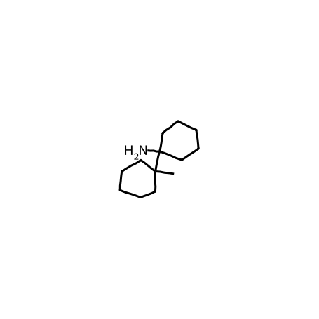 CC1(C2(N)CCCCC2)CCCCC1